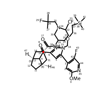 COc1cc(-c2cc(C(=O)C3[C@@H]4CC[C@H]3C[C@H](C(=O)NC3CCC(C(F)(F)F)N(CC(C)(C)F)C3)C4)nn2COCC[Si](C)(C)C)c(F)cn1